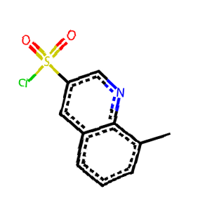 Cc1cccc2cc(S(=O)(=O)Cl)cnc12